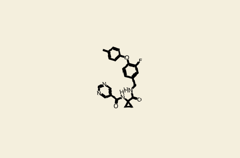 Cc1ccc(Oc2ccc(CNC(=O)C3(NC(=O)c4cncnc4)CC3)cc2F)cc1